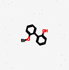 CCOc1ccccc1-c1ccccc1O